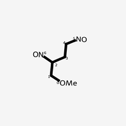 COCC(CCN=O)N=O